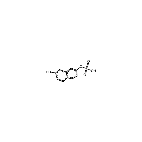 O=S(=O)(O)Oc1ccc2ccc(O)cc2c1